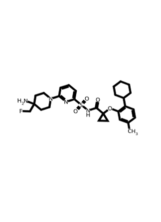 Cc1ccc(C2CCCCC2)c(OC2(C(=O)NS(=O)(=O)c3cccc(N4CCC(N)(CF)CC4)n3)CC2)c1